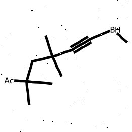 CBC#CC(C)(C)CC(C)(C)C(C)=O